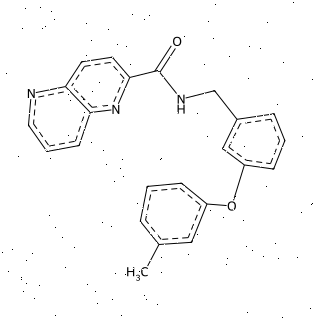 Cc1cccc(Oc2cccc(CNC(=O)c3ccc4ncccc4n3)c2)c1